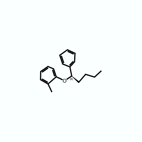 CCCC[C@@H](Oc1ccccc1C)c1ccccc1